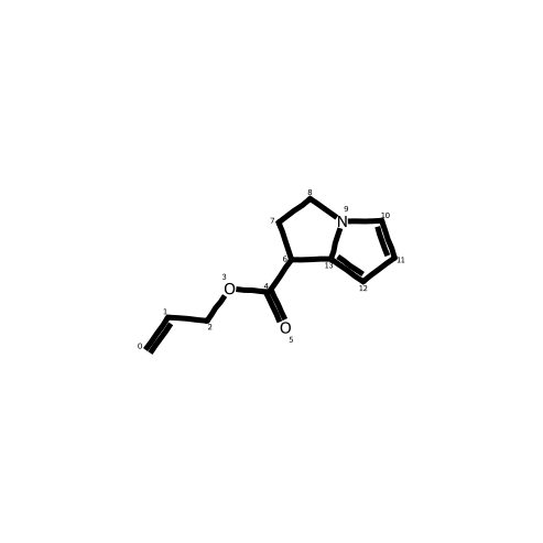 C=CCOC(=O)C1CCn2cccc21